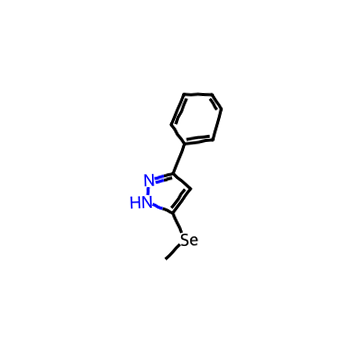 C[Se]c1cc(-c2ccccc2)n[nH]1